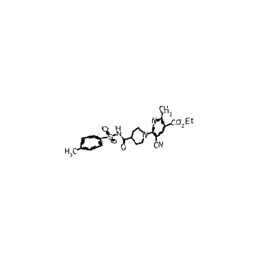 CCOC(=O)c1cc(C#N)c(N2CCC(C(=O)NS(=O)(=O)c3ccc(C)cc3)CC2)nc1C